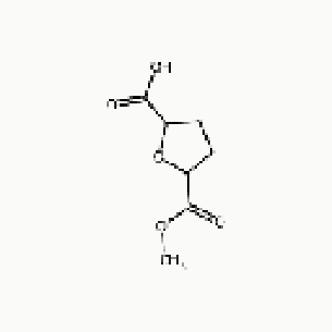 COC(=O)C1CCC(C(=O)O)O1